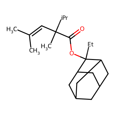 CCC1(OC(=O)C(C)(C=C(C)C)C(C)C)C2CC3CC(C2)CC1C3